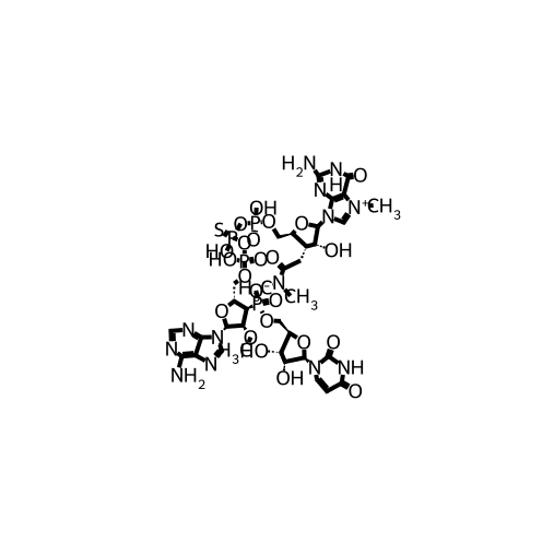 CO[C@@H]1[C@H](P(=O)([O-])OC[C@H]2O[C@@H](n3ccc(=O)[nH]c3=O)[C@H](O)[C@@H]2O)[C@@H](COP(=O)(O)OP(O)(=S)OP(=O)(O)OC[C@H]2OC(n3c[n+](C)c4c(=O)[nH]c(N)nc43)[C@H](O)[C@@H]2CC(=O)N(C)C)O[C@H]1n1cnc2c(N)ncnc21